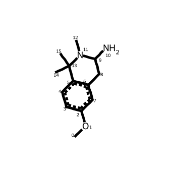 COc1ccc2c(c1)CC(N)N(C)C2(C)C